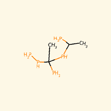 CC(P)PC(C)(P)PP